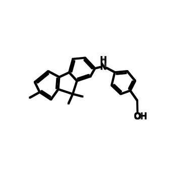 Cc1ccc2c(c1)C(C)(C)c1cc(Nc3ccc(CO)cc3)ccc1-2